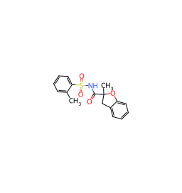 Cc1ccccc1S(=O)(=O)NC(=O)C1(C)Cc2ccccc2O1